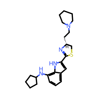 c1cc(NC2CCCC2)c2[nH]c(C3=N[C@H](CCN4CCCCC4)CS3)cc2c1